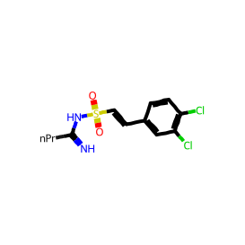 CCCC(=N)NS(=O)(=O)/C=C/c1ccc(Cl)c(Cl)c1